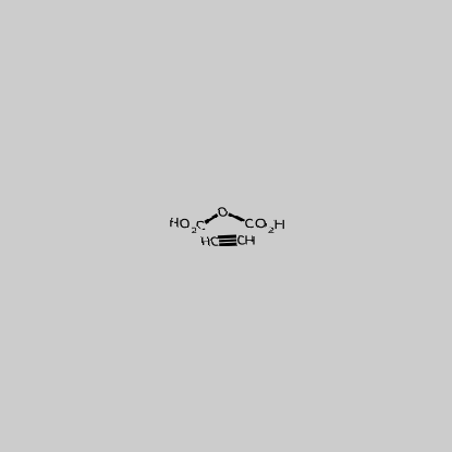 C#C.O=C(O)OC(=O)O